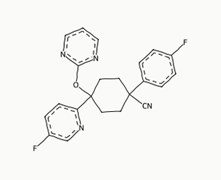 N#CC1(c2ccc(F)cc2)CCC(Oc2ncccn2)(c2ccc(F)cn2)CC1